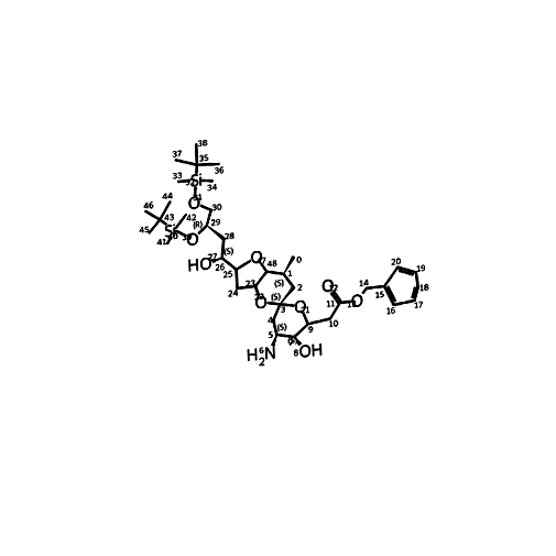 C[C@H]1C[C@@]2(C[C@H](N)[C@H](O)C(CC(=O)OCc3ccccc3)O2)OC2CC([C@@H](O)C[C@H](CO[Si](C)(C)C(C)(C)C)O[Si](C)(C)C(C)(C)C)OC21